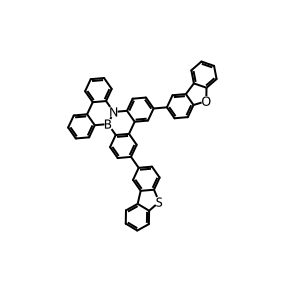 c1ccc2c(c1)B1c3ccc(-c4ccc5sc6ccccc6c5c4)cc3-c3cc(-c4ccc5oc6ccccc6c5c4)ccc3N1c1ccccc1-2